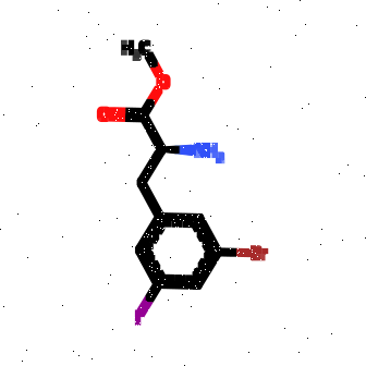 COC(=O)[C@@H](N)Cc1cc(Br)cc(I)c1